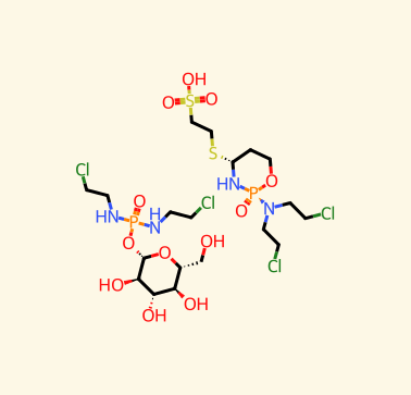 O=P(NCCCl)(NCCCl)O[C@@H]1O[C@H](CO)[C@@H](O)[C@H](O)[C@H]1O.O=[P@]1(N(CCCl)CCCl)N[C@H](SCCS(=O)(=O)O)CCO1